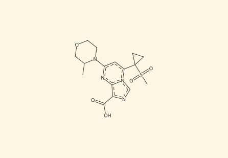 CC1COCCN1c1cc(C2(S(C)(=O)=O)CC2)n2cnc(C(=O)O)c2n1